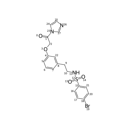 O=C(COc1cccc(CCNS(=O)(=O)c2ccc(Br)cc2)c1)n1ccnc1